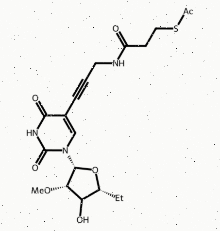 CC[C@H]1O[C@@H](n2cc(C#CCNC(=O)CCSC(C)=O)c(=O)[nH]c2=O)[C@@H](OC)C1O